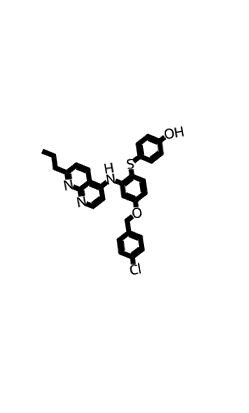 CCCc1ccc2c(Nc3cc(OCc4ccc(Cl)cc4)ccc3Sc3ccc(O)cc3)ccnc2n1